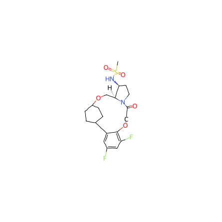 CS(=O)(=O)N[C@H]1CCN2C(=O)COc3c(F)cc(F)cc3C3CCC(CC3)OC[C@@H]12